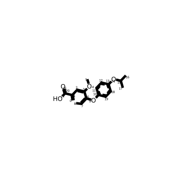 C=C(/C=C(OC)\C(=C/C)Oc1ccc(OC(C)C)cc1)C(=O)O